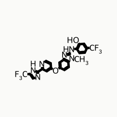 Cn1c(Nc2ccc(C(F)(F)F)cc2O)nc2cc(Oc3ccnc(-c4ncc(C(F)(F)F)[nH]4)c3)ccc21